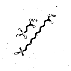 COC(=O)CCCCCCCCCC[Si](C)(C)Cl.COC(=O)CC[Si](Cl)(Cl)Cl